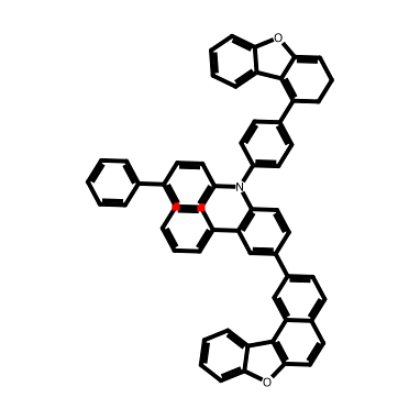 C1=c2oc3ccccc3c2=C(c2ccc(N(c3ccc(-c4ccccc4)cc3)c3ccc(-c4ccc5ccc6oc7ccccc7c6c5c4)cc3-c3ccccc3)cc2)CC1